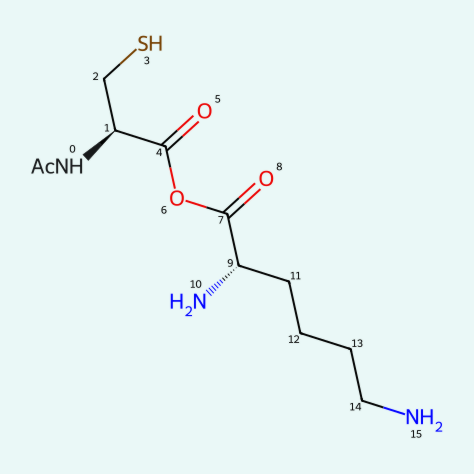 CC(=O)N[C@@H](CS)C(=O)OC(=O)[C@@H](N)CCCCN